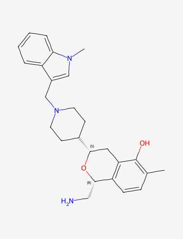 Cc1ccc2c(c1O)C[C@@H](C1CCN(Cc3cn(C)c4ccccc34)CC1)O[C@H]2CN